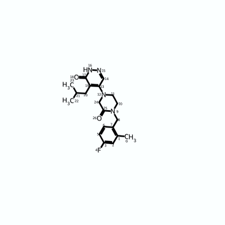 Cc1cc(F)ccc1CN1CCN(c2cn[nH]c(=O)c2CC(C)C)CC1=O